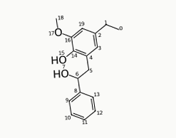 CCc1cc(CC(O)c2ccccc2)c(O)c(OC)c1